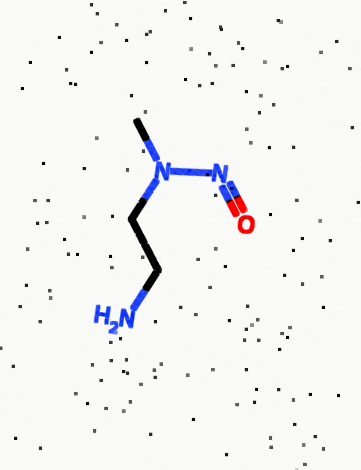 CN(CCN)N=O